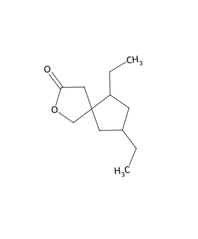 CCC1CC(CC)C2(COC(=O)C2)C1